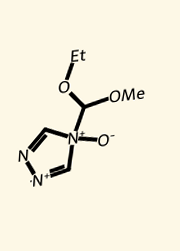 CCOC(OC)[N+]1([O-])C=N[N+]=C1